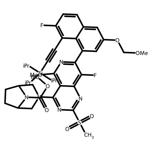 COCOc1cc(-c2nc(OC)c3c(N4CC5CCC(C4)N5C(=O)OC(C)(C)C)nc(S(C)(=O)=O)nc3c2F)c2c(C#C[Si](C(C)C)(C(C)C)C(C)C)c(F)ccc2c1